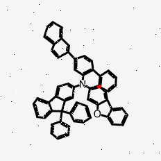 c1ccc(-c2ccc(-c3ccc4ccccc4c3)cc2N(c2ccc3c(c2)C(c2ccccc2)(c2ccccc2)c2ccccc2-3)c2ccc3c(c2)oc2ccccc23)cc1